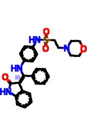 O=C1Nc2ccccc2/C1=C(/Nc1ccc(NS(=O)(=O)CCN2CCOCC2)cc1)c1ccccc1